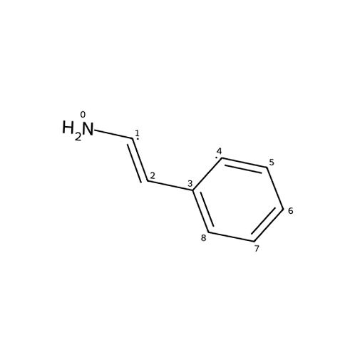 N[C]=Cc1[c]cccc1